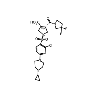 O=C(O)[C@@H]1C[C@H](S(=O)(=O)c2ccc(N3CCN(C4CC4)CC3)cc2Cl)C[C@H]1C(=O)N1CCC(F)(F)C1